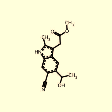 COC(=O)Cc1c(C)[nH]c2cc(C#N)c(C(C)O)cc12